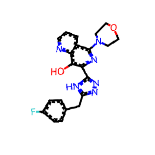 Oc1c(-c2nnc(Cc3ccc(F)cc3)[nH]2)nc(N2CCOCC2)c2cccnc12